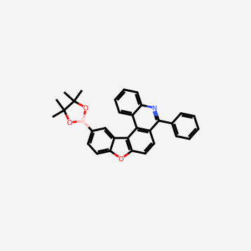 CC1(C)OB(c2ccc3oc4ccc5c(-c6ccccc6)nc6ccccc6c5c4c3c2)OC1(C)C